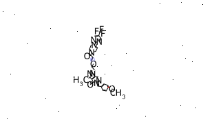 COc1ccc(Cn2ncc3c(c(C)nn3CCO/C=C/C(=O)N3CCN(c4ncc(C(F)(F)F)cn4)CC3)c2=O)cc1